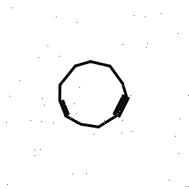 C1#CCCCCCC=CCC1